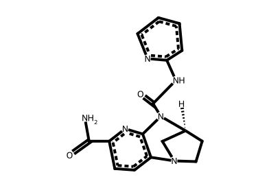 NC(=O)c1ccc2c(n1)N(C(=O)Nc1ccccn1)[C@H]1CCN2C1